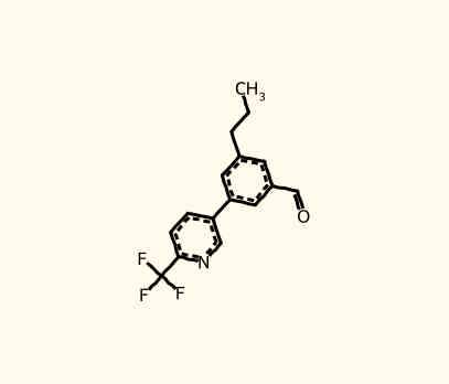 CCCc1cc(C=O)cc(-c2ccc(C(F)(F)F)nc2)c1